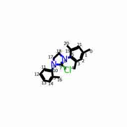 Cc1cc(C)c([N+]2=C(Cl)N(c3ccccc3C)CC2)c(C)c1